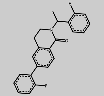 CC(c1ccccc1F)N1CCc2cc(-c3ccccc3F)ccc2C1=O